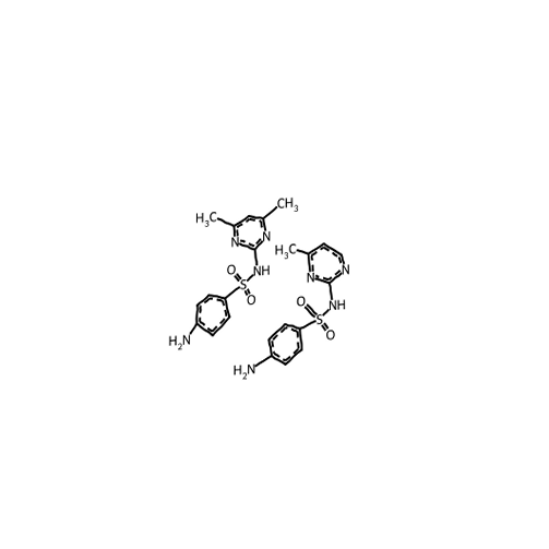 Cc1cc(C)nc(NS(=O)(=O)c2ccc(N)cc2)n1.Cc1ccnc(NS(=O)(=O)c2ccc(N)cc2)n1